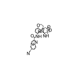 CC1(C)C(=N)N[C@@]2(CCOc3ccc(NC(=O)c4cn5cc(C#N)ccc5n4)cc32)CS1(=O)=O